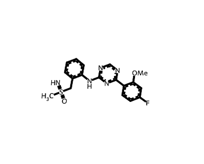 COc1cc(F)ccc1-c1ncnc(Nc2ccccc2CS(C)(=N)=O)n1